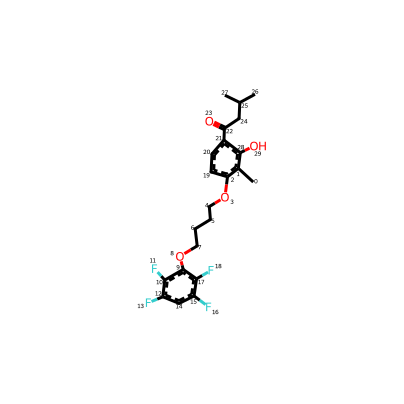 Cc1c(OCCCCOc2c(F)c(F)cc(F)c2F)ccc(C(=O)CC(C)C)c1O